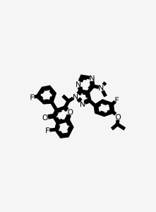 CC(C)Oc1ccc(-c2nn(C(C)c3oc4cccc(F)c4c(=O)c3-c3cccc(F)c3)c3ncnc(N(C)C)c23)cc1F